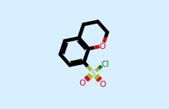 O=S(=O)(Cl)c1cccc2c1OCCC2